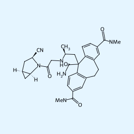 CNC(=O)c1ccc2c(c1)CCc1cc(C(=O)NC)ccc1C2(C[C@H](C)NCC(=O)N1[C@H](C#N)C[C@@H]2C[C@@H]21)C(N)=O